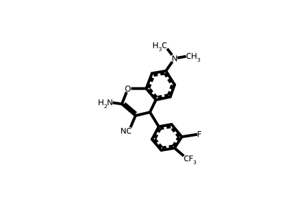 CN(C)c1ccc2c(c1)OC(N)=C(C#N)C2c1ccc(C(F)(F)F)c(F)c1